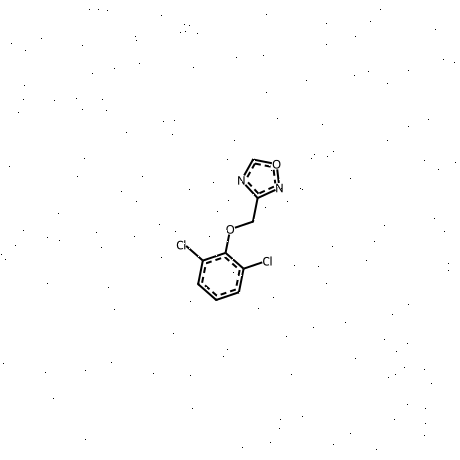 Clc1cccc(Cl)c1OCc1ncon1